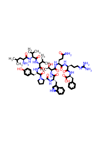 CC(C)C[C@H](N)C(=O)N[C@H](C(=O)N[C@H](C(=O)N[C@@H](Cc1ccc(O)cc1)C(=O)N1CCC[C@H]1C(=O)N[C@@H](Cc1c[nH]c2ccccc12)C(=O)N[C@H](C(=O)N[C@@H](CCC(N)=O)C(=O)N[C@@H](CCCN=C(N)N)C(=O)N[C@@H](Cc1ccccc1)C(=O)O)[C@@H](C)O)C(C)C)C(C)C